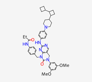 CCC(=O)Nc1ccc(CN2C(=O)N(c3cc(OC)cc(OC)c3)Cc3cnc(Nc4ccc(N5CCC(C6CCC6C6CCC6)CC5)cc4)nc32)cc1